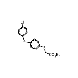 CCOC(=O)CSc1ccc(Sc2ccc(Cl)cc2)cc1